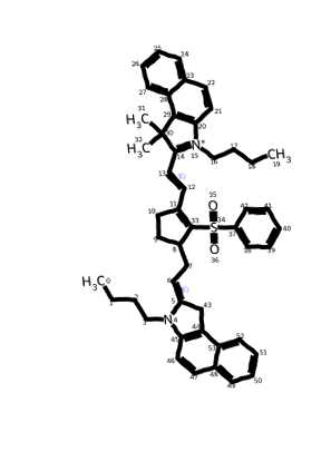 CCCCN1/C(=C/CC2CCC(/C=C/C3=[N+](CCCC)c4ccc5ccccc5c4C3(C)C)=C2S(=O)(=O)c2ccccc2)Cc2c1ccc1ccccc21